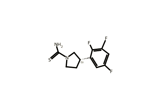 NC(=S)N1CC[C@@H](c2cc(F)cc(F)c2F)C1